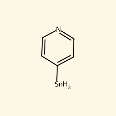 [SnH3][c]1ccncc1